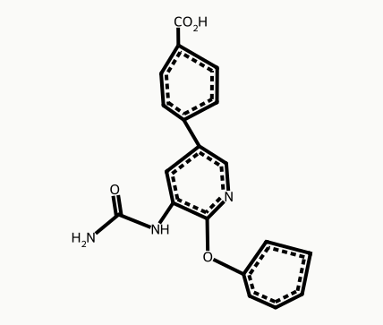 NC(=O)Nc1cc(-c2ccc(C(=O)O)cc2)cnc1Oc1ccccc1